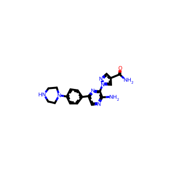 NC(=O)c1cnn(-c2nc(-c3ccc(N4CCNCC4)cc3)cnc2N)c1